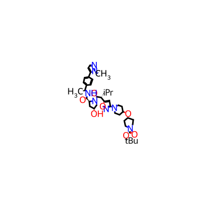 CC(C)[C@@H](C(=O)N1C[C@H](O)C[C@H]1C(=O)N[C@@H](C)c1ccc(-c2ccnn2C)cc1)c1cc(N2CCC(OC3CCN(C(=O)OC(C)(C)C)CC3)CC2)no1